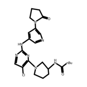 CCCCC(=O)NC1CCCN(c2nc(Nc3cncc(N4CCCC4=O)c3)ncc2Cl)C1